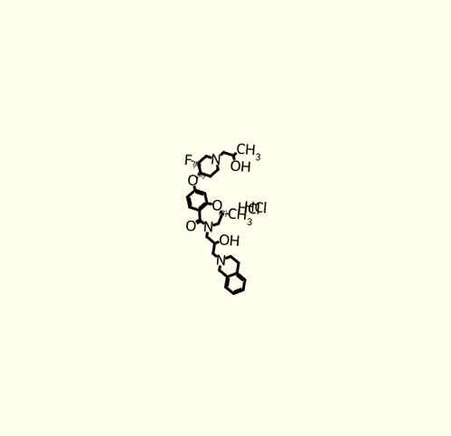 CC(O)CN1CC[C@@H](Oc2ccc3c(c2)O[C@H](C)CN(CC(O)CN2CCc4ccccc4C2)C3=O)[C@H](F)C1.Cl.Cl